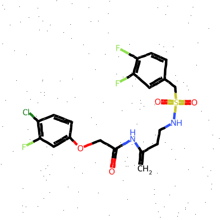 C=C(CCNS(=O)(=O)Cc1ccc(F)c(F)c1)NC(=O)COc1ccc(Cl)c(F)c1